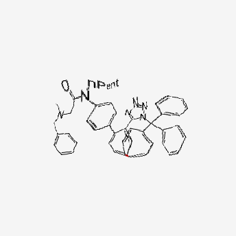 CCCCCN(C(=O)CN(C)Cc1ccccc1)c1ccc(-c2ccccc2-c2nnnn2C(c2ccccc2)(c2ccccc2)c2ccccc2)cc1